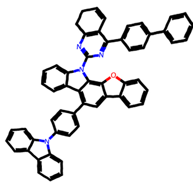 C1=Cc2c(nc(-n3c4ccccc4c4c(-c5ccc(-n6c7ccccc7c7ccccc76)cc5)cc5c6ccccc6oc5c43)nc2-c2ccc(-c3ccccc3)cc2)CC1